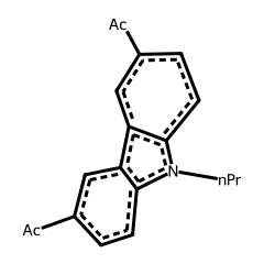 CCCn1c2ccc(C(C)=O)cc2c2cc(C(C)=O)ccc21